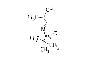 CC(C)C=N[S@+]([O-])C(C)(C)C